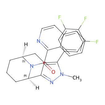 Cn1nc2c(c1-c1cc(F)c(F)c(F)c1)C[C@@H]1CCC[C@H]2N1C(=O)c1nccc2ccccc12